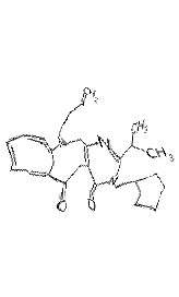 C=CCn1c2ccccc2c(=O)c2c(=O)n(C3CCCC3)c(C(C)C)nc21